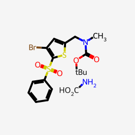 CN(Cc1cc(Br)c(S(=O)(=O)c2ccccc2)s1)C(=O)OC(C)(C)C.NC(=O)O